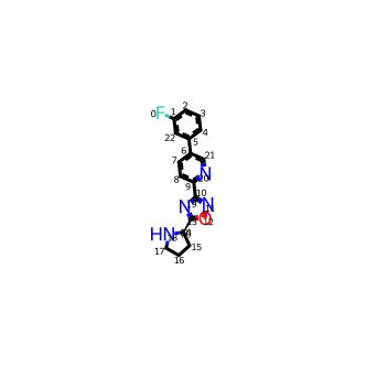 Fc1cccc(-c2ccc(-c3noc([C@H]4CCCN4)n3)nc2)c1